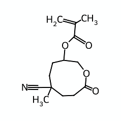 C=C(C)C(=O)OC1CCC(C)(C#N)CCC(=O)OC1